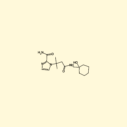 CC(C)(CC(=O)NCC1(O)CCCCC1)n1c[c]nc1C(N)=O